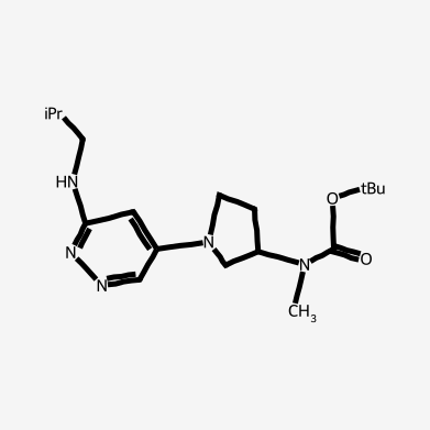 CC(C)CNc1cc(N2CCC(N(C)C(=O)OC(C)(C)C)C2)cnn1